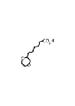 O=C(O)CCCCCC1COCCO1